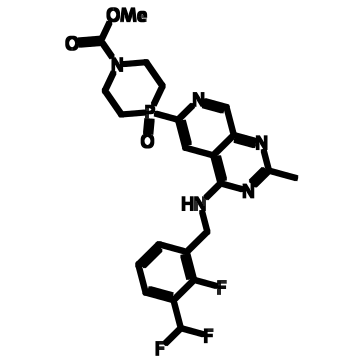 COC(=O)N1CCP(=O)(c2cc3c(NCc4cccc(C(F)F)c4F)nc(C)nc3cn2)CC1